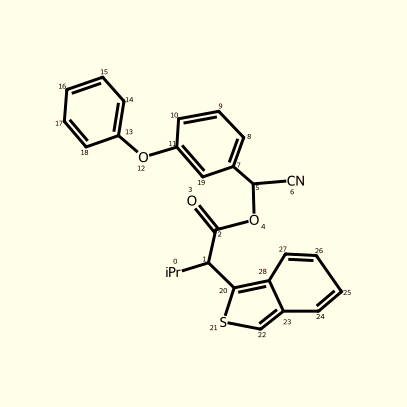 CC(C)C(C(=O)OC(C#N)c1cccc(Oc2ccccc2)c1)c1scc2ccccc12